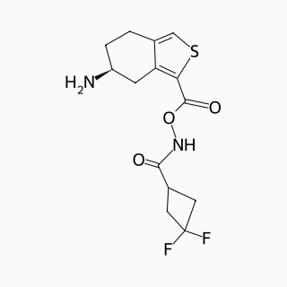 N[C@H]1CCc2csc(C(=O)ONC(=O)C3CC(F)(F)C3)c2C1